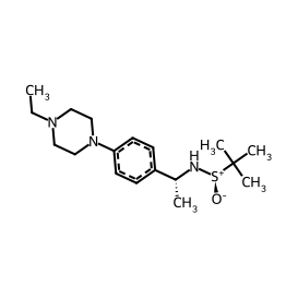 CCN1CCN(c2ccc([C@@H](C)N[S@+]([O-])C(C)(C)C)cc2)CC1